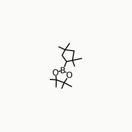 CC1(C)CC(B2OC(C)(C)C(C)(C)O2)C(C)(C)C1